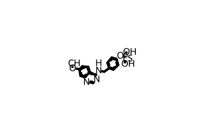 COc1ccc2c(NCc3ccc(OP(O)(O)=S)cc3)ncnc2c1